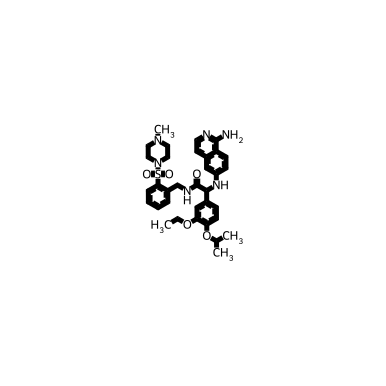 CCOc1cc(C(Nc2ccc3c(N)nccc3c2)C(=O)NCc2ccccc2S(=O)(=O)N2CCN(C)CC2)ccc1OC(C)C